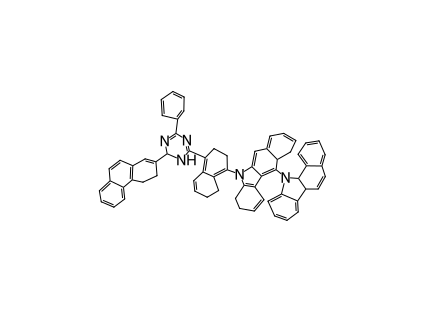 C1=CCC2C(=C1)C=c1c(c3c(n1C1=C4CCC=CC4=C(C4=NC(c5ccccc5)=NC(C5=Cc6ccc7ccccc7c6CC5)N4)CC1)CCC=C3)=C2N1c2ccccc2C2C=Cc3ccccc3C21